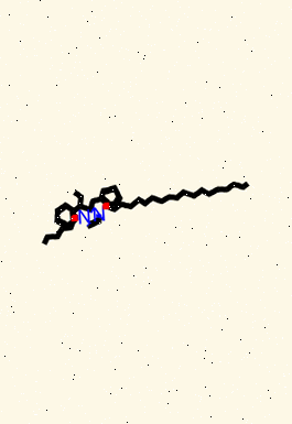 CCCCCCCCCCCCCCCCCCCN1C=CN(CCCCCC)C1(Cc1ccccc1)C(CC)c1ccccc1